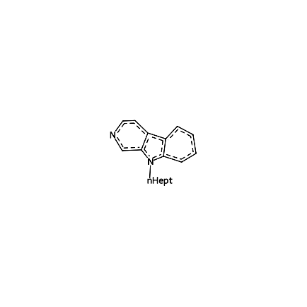 CCCCCCCn1c2ccccc2c2ccncc21